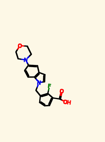 O=C(O)c1cccc(Cn2ccc3cc(N4CCOCC4)ccc32)c1F